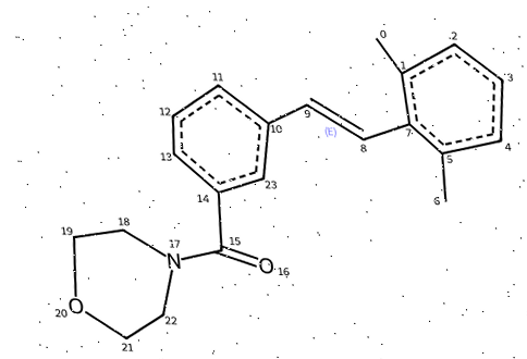 Cc1cccc(C)c1/C=C/c1cccc(C(=O)N2CCOCC2)c1